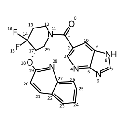 O=C(c1cnc2nc[nH]c2c1)N1CCC(F)(F)[C@@H](Oc2ccc3ccccc3n2)C1